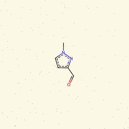 Cn1c[c]c(C=O)n1